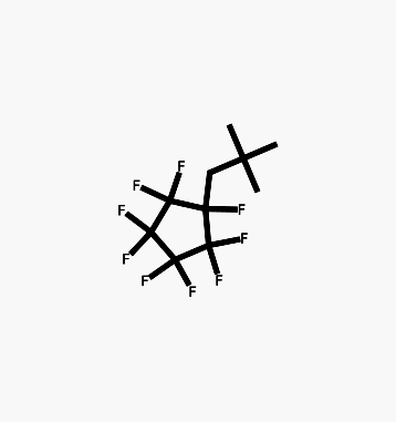 CC(C)(C)CC1(F)C(F)(F)C(F)(F)C(F)(F)C1(F)F